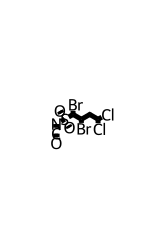 O=C=NS(=O)(=O)C(Br)C(Br)CC(Cl)Cl